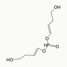 O=[PH](OC=CCCO)OC=CCCO